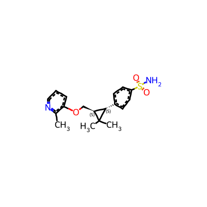 Cc1ncccc1OC[C@H]1[C@H](c2ccc(S(N)(=O)=O)cc2)C1(C)C